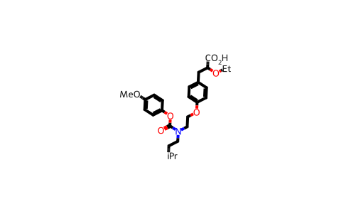 CCOC(Cc1ccc(OCCN(CCC(C)C)C(=O)Oc2ccc(OC)cc2)cc1)C(=O)O